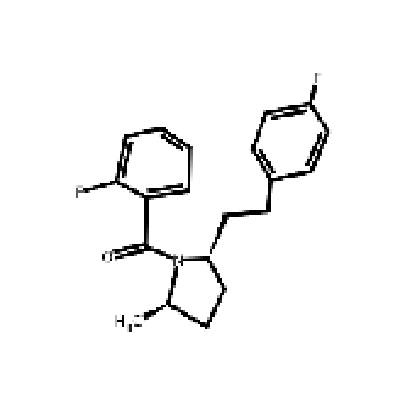 C[C@@H]1CC[C@H](CCc2ccc(F)cc2)N1C(=O)c1ccccc1F